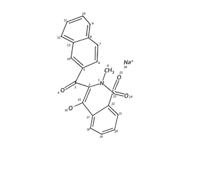 CN1C(C(=O)c2ccc3ccccc3c2)=C([O-])c2ccccc2S1(=O)=O.[Na+]